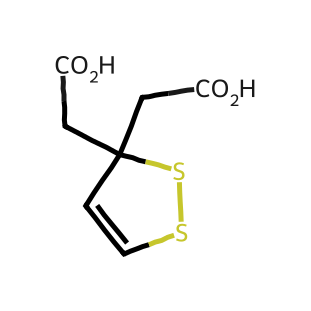 O=C(O)CC1(CC(=O)O)C=CSS1